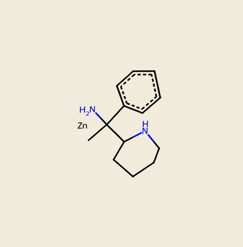 CC(N)(c1ccccc1)C1CCCCN1.[Zn]